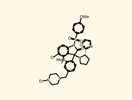 CCN1CCN(Cc2ccc(C3(N4CCC[C@H]4c4ncco4)C(=O)N(S(=O)(=O)c4ccc(OC)cc4)c4ccc(Cl)c(F)c43)c(OC)c2)CC1